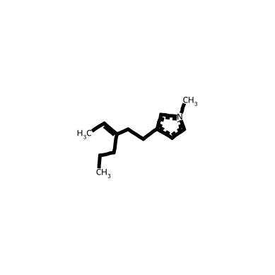 C/C=C(\CCC)CCc1ccn(C)c1